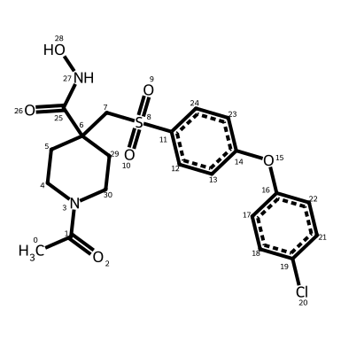 CC(=O)N1CCC(CS(=O)(=O)c2ccc(Oc3ccc(Cl)cc3)cc2)(C(=O)NO)CC1